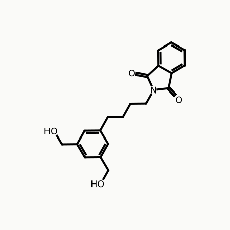 O=C1c2ccccc2C(=O)N1CCCCc1cc(CO)cc(CO)c1